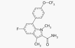 Cc1c(C(N)=O)n(C)c2c(-c3ccc(OC(F)(F)F)cc3)cc(F)cc12